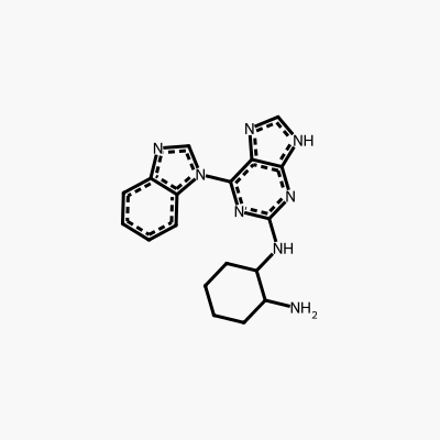 NC1CCCCC1Nc1nc(-n2cnc3ccccc32)c2nc[nH]c2n1